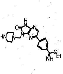 CCOC(=N)c1ccc(-c2cnc3[nH]c(=O)n(CN4CCNCC4)c3n2)cc1